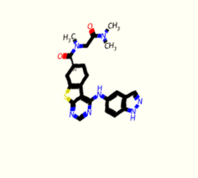 CN(C)C(=O)CN(C)C(=O)[C@H]1CCc2c(sc3ncnc(Nc4ccc5[nH]ncc5c4)c23)C1